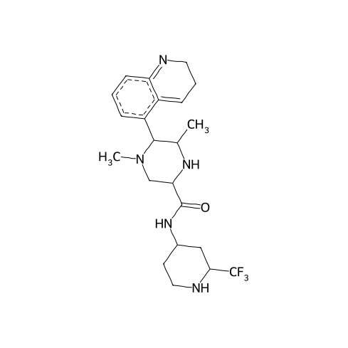 CC1NC(C(=O)NC2CCNC(C(F)(F)F)C2)CN(C)C1c1cccc2c1=CCCN=2